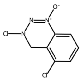 [O-][N+]1=NN(Cl)Cc2c(Cl)cccc21